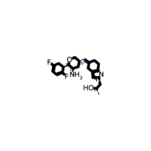 C[C@H](O)Cn1cc2c(n1)CC/C(=C/[C@H]1CO[C@H](C3CC(F)=CC=C3F)[C@@H](N)C1)C2